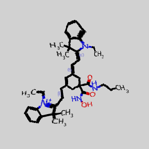 CCCNC(=O)C1(C(=O)NO)CC(/C=C/C2=[N+](CC)c3ccccc3C2(C)C)=CC(=C/C=C2/N(CC)c3ccccc3C2(C)C)/C1